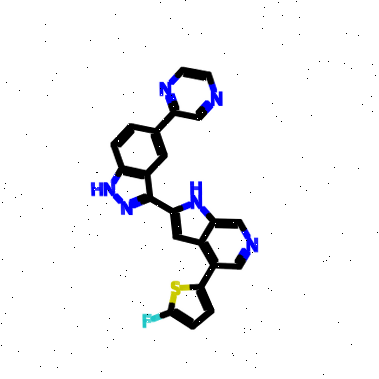 Fc1ccc(-c2cncc3[nH]c(-c4n[nH]c5ccc(-c6cnccn6)cc45)cc23)s1